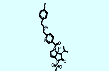 CC(C)[C@H]1C(=O)N(S(C)(=O)=O)C2=CCN(C(=O)c3ccc(CNCc4ccc(F)cc4)nc3)[C@@H]21